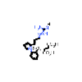 O=C(O)CCC(=O)O.[H]/N=C(\N)NN=CC=Cc1cccn1-c1ccccc1[N+](=O)[O-]